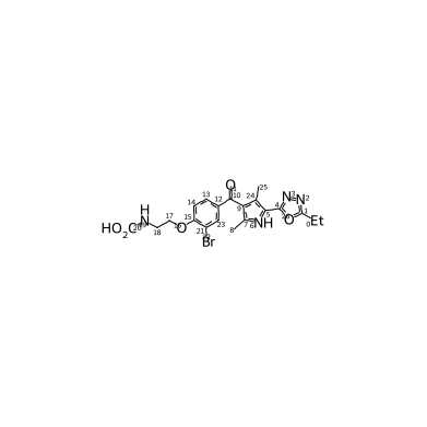 CCc1nnc(-c2[nH]c(C)c(C(=O)c3ccc(OCCNC(=O)O)c(Br)c3)c2C)o1